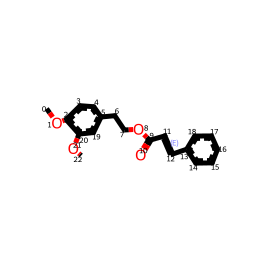 COc1ccc(CCOC(=O)/C=C/c2ccccc2)cc1OC